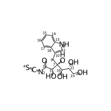 O=C(N=C=S)[C@H](O)[C@](O)(Cc1c[nH]c2ccccc12)[C@H](O)[C@H](O)CO